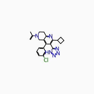 C=C(C)N1CCc2nc(C3CCC3)c(-c3nnn[nH]3)c(-c3cccc(Cl)c3)c2C1